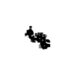 C=C1CC[C@H]2CC1=C1N(CC)C(=O)c3c(O)c(=O)c(-c4nnc(Cc5ccc(F)cc5F)s4)cn3N1C2